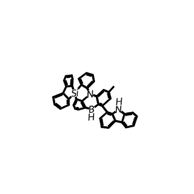 Cc1cc(-c2cccc3c2[nH]c2ccccc23)c2c(c1)N1c3ccccc3[Si]3(c4ccccc4-c4ccccc43)c3cccc(c31)B2